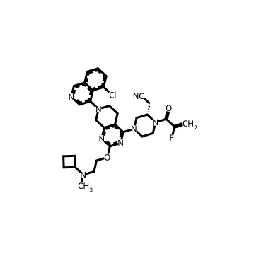 C=C(F)C(=O)N1CCN(c2nc(OCCN(C)C3CCC3)nc3c2CCN(c2cncc4cccc(Cl)c24)C3)C[C@@H]1CC#N